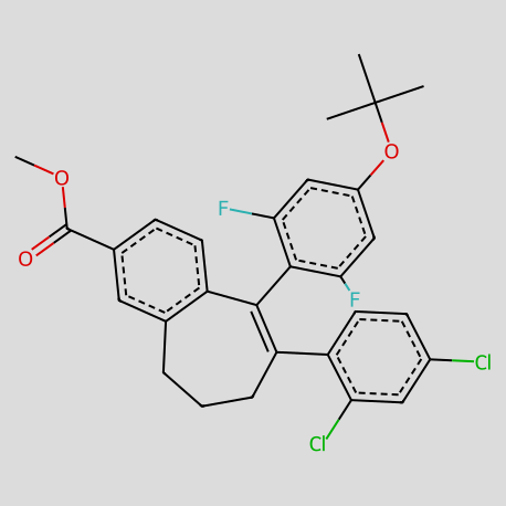 COC(=O)c1ccc2c(c1)CCCC(c1ccc(Cl)cc1Cl)=C2c1c(F)cc(OC(C)(C)C)cc1F